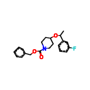 CC(OC1CCN(C(=O)OCc2ccccc2)CC1)c1cccc(F)c1